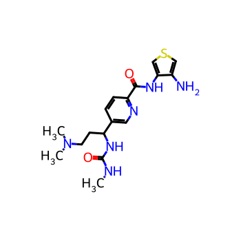 CNC(=O)NC(CCN(C)C)c1ccc(C(=O)Nc2cscc2N)nc1